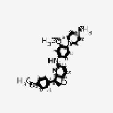 COc1ccc(-c2coc3ccc(Nc4ccc(N5CCN(C)CC5)c(OC)c4)nc23)cc1